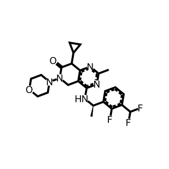 Cc1nc(N[C@H](C)c2cccc(C(F)F)c2F)c2c(n1)C(C1CC1)C(=O)N(N1CCOCC1)C2